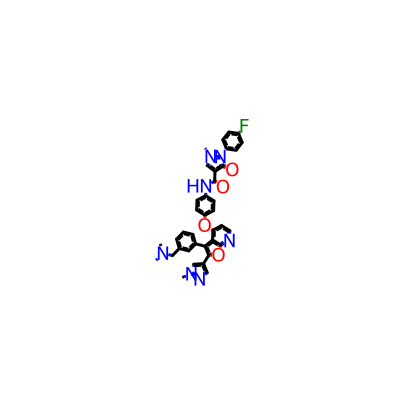 CN(C)Cc1cccc(-c2c(-c3cnn(C)c3)oc3nccc(Oc4ccc(NC(=O)c5cn(C)n(-c6ccc(F)cc6)c5=O)cc4)c23)c1